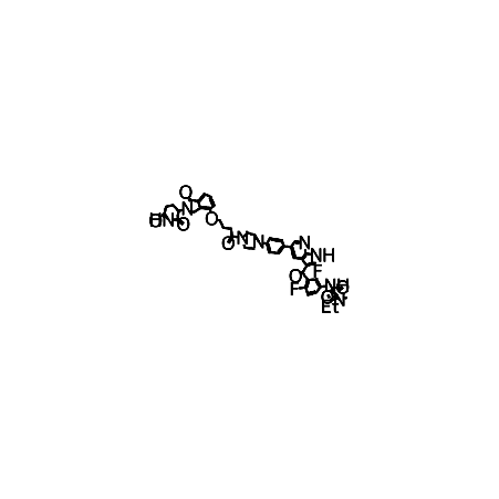 CCN(C)S(=O)(=O)Nc1ccc(F)c(C(=O)c2c[nH]c3ncc(-c4ccc(N5CCN(C(=O)CCCOc6cccc7c6CN(C6CCC(=O)NC6=O)C7=O)CC5)cc4)cc23)c1F